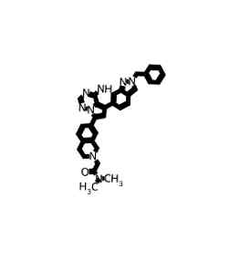 CN(C)C(=O)CN1CCc2ccc(-c3cc(-c4ccc5cn(Cc6ccccc6)nc5c4)c4c(N)ncnn34)cc2C1